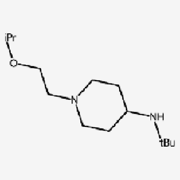 CC(C)OCCN1CCC(NC(C)(C)C)CC1